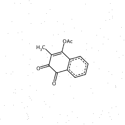 CC(=O)OC1=C(C)C(=O)C(=O)c2ccccc21